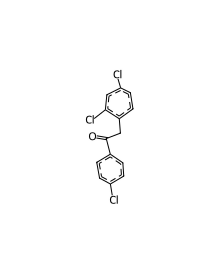 O=C(Cc1ccc(Cl)cc1Cl)c1ccc(Cl)cc1